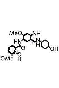 COC1=CC(=N)/C(=C\NC2CCC(O)CC2)C=C1NC(=O)c1cccc(OC)[n+]1O